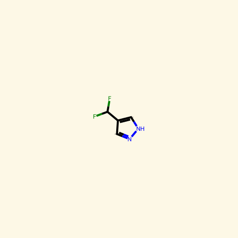 FC(F)c1[c]n[nH][c]1